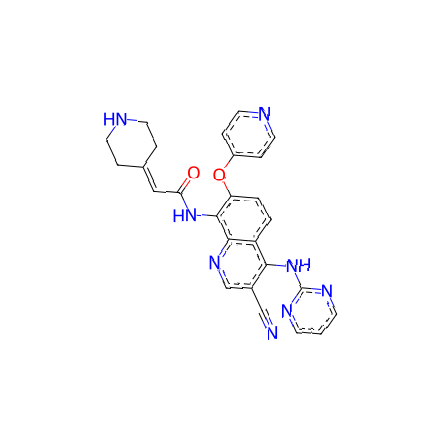 N#Cc1cnc2c(NC(=O)C=C3CCNCC3)c(Oc3ccncc3)ccc2c1Nc1ncccn1